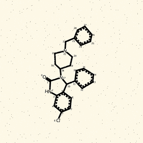 O=C1Nc2cc(Cl)ccc2C(c2ccccc2)N1C1CCN(Cc2ccccc2)CC1